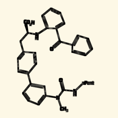 CCCCCNC(=O)N(C)c1cccc(-c2ccc(C[C@H](Nc3ccccc3C(=O)c3ccccc3)C(=O)O)cc2)c1